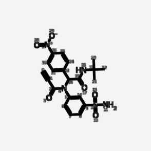 C#CC(=O)N(c1cccc(S(N)(=O)=O)c1)C(C(=O)NC(C)(C)C)c1ccc([N+](=O)[O-])cc1